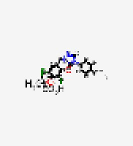 CC(C)(Oc1c(F)cc(Cn2ncn(-c3ccc(C(F)(F)F)cc3)c2=O)cc1F)C(=O)O